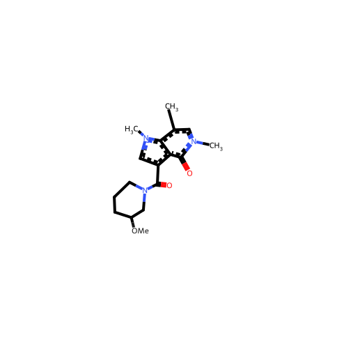 COC1CCCN(C(=O)c2cn(C)c3c(C)cn(C)c(=O)c23)C1